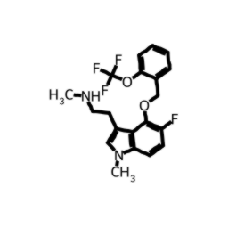 CNCCc1cn(C)c2ccc(F)c(OCc3ccccc3OC(F)(F)F)c12